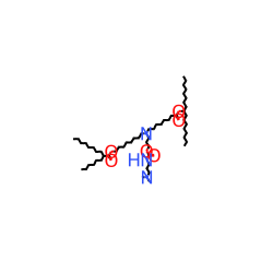 CCCCCCCCC(CCCCCCCC)OC(=O)CCCCCCCN(CCCCCCCCOC(=O)C(CCCCCC)CCCCCCCC)CCCOC(=O)NCCCN(C)C